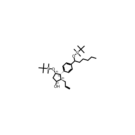 C=CC[C@@H]1[C@@H](c2ccc(C(CCCCC)O[Si](C)(C)C(C)(C)C)cc2)[C@H](O[Si](C)(C)C(C)(C)C)C[C@@H]1O